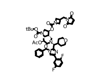 CC(=O)O[C@@H](C)C(=O)N(C[C@@H]1CN(C(=O)OC(C)(C)C)C[C@H]1OC(=O)N1CC(CN2C(=O)C=CC2=O)C1)[C@@H](c1nc(-c2cc(F)ccc2F)cn1Cc1ccccc1)C1CCOCC1